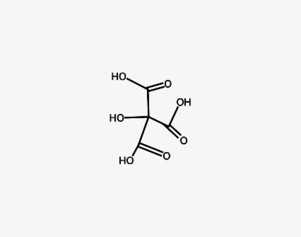 O=C(O)C(O)(C(=O)O)C(=O)O